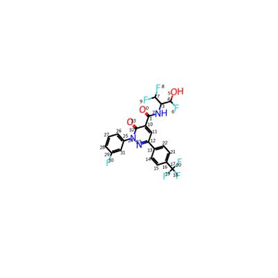 O=C(NC(C(O)F)C(F)F)c1cc(-c2ccc(C(F)(F)F)cc2)nn(-c2cccc(F)c2)c1=O